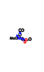 COc1nc2c(c(N3CCN(C(=O)OCc4ccccc4)CC3)n1)CCN(c1cccc3ccccc13)C2